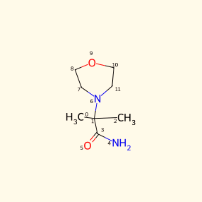 CC(C)(C(N)=O)N1CCOCC1